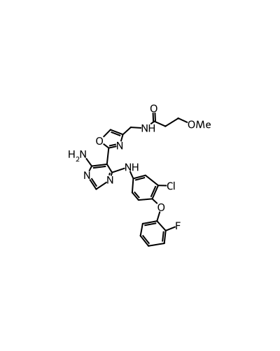 COCCC(=O)NCc1coc(-c2c(N)ncnc2Nc2ccc(Oc3ccccc3F)c(Cl)c2)n1